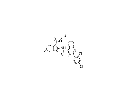 CCCOC(=O)c1c(NC(=O)c2c(C)c(-c3ccc(Cl)cc3Cl)nc3ccccc23)sc2c1CCC(C)C2